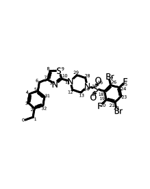 CCc1ccc(Cc2csc(N3CCN(S(=O)(=O)c4c(F)c(Br)cc(F)c4Br)CC3)n2)cc1